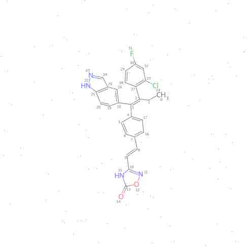 CCC(=C(c1ccc(C=Cc2noc(=O)[nH]2)cc1)c1ccc2[nH]ncc2c1)c1ccc(F)cc1Cl